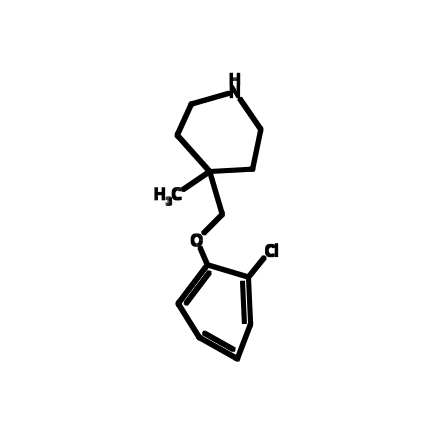 CC1(COc2ccccc2Cl)CCNCC1